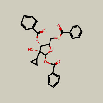 O=C(OC[C@H]1O[C@H](OC(=O)c2ccccc2)[C@@](O)(C2CC2)[C@@H]1OC(=O)c1ccccc1)c1ccccc1